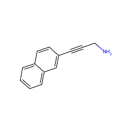 NCC#Cc1ccc2ccccc2c1